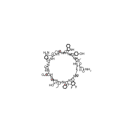 CCCC[C@H]1C(=O)N2C[C@@H](O)C[C@@H]2C(=O)N[C@@H](COC=O)C(=O)N[C@@H](C(C)C)C(=O)N(C)[C@@H](Cc2ccc(C)cc2)C(=O)N[C@@H](CCCN)C(=O)N2CCC[C@@H]2C(=O)N[C@@H](Cc2c[nH]c3ccccc23)C(=O)N[C@@H](Cc2ccc(O)cc2)C(=O)N[C@@H](CC(C)C)C(=O)N[C@H](C(=O)NCC(N)=O)CSCC(=O)N[C@@H](Cc2cc(F)c(F)c(F)c2)C(=O)N(C)[C@@H](Cc2ccccc2)C(=O)N1C